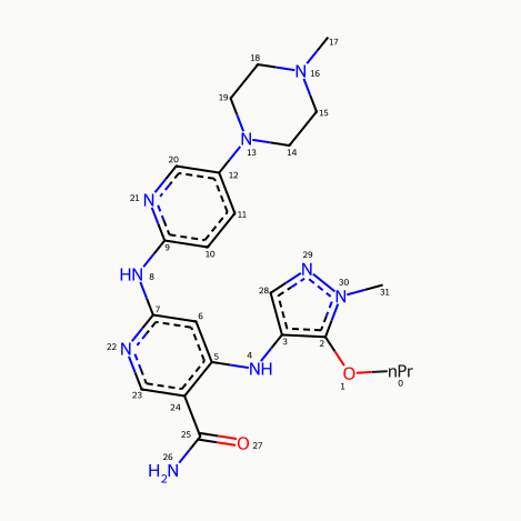 CCCOc1c(Nc2cc(Nc3ccc(N4CCN(C)CC4)cn3)ncc2C(N)=O)cnn1C